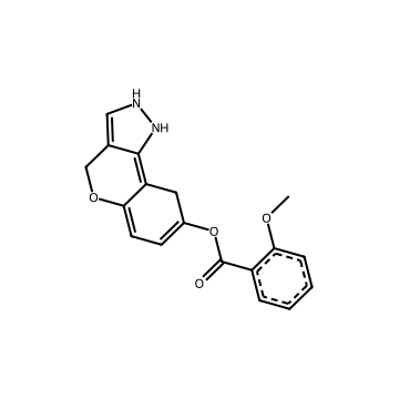 COc1ccccc1C(=O)OC1=CC=C2OCC3=CNNC3=C2C1